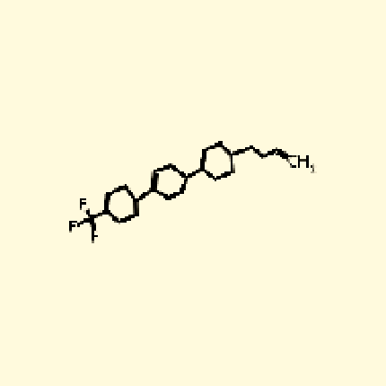 C=CCCC1CCC(C2CC=C(C3CCC(C(F)(F)F)CC3)CC2)CC1